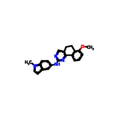 COc1cccc2c1CCc1cnc(Nc3ccc4c(ccn4C)c3)nc1-2